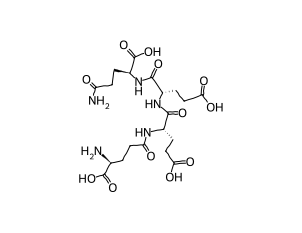 NC(=O)CC[C@H](NC(=O)[C@H](CCC(=O)O)NC(=O)[C@H](CCC(=O)O)NC(=O)CC[C@H](N)C(=O)O)C(=O)O